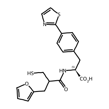 O=C(N[C@@H](Cc1ccc(-c2nccs2)cc1)C(=O)O)C(CS)Cc1ccco1